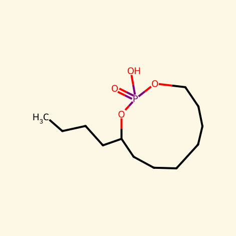 CCCCC1CCCCCCCOP(=O)(O)O1